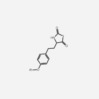 CC(C)Oc1ccc(CCC2NC(=O)SC2=O)cc1